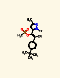 CCn1nc(C)cc1C(OS(C)(=O)=O)=C(C#N)c1ccc([Si](C)(C)C)cc1